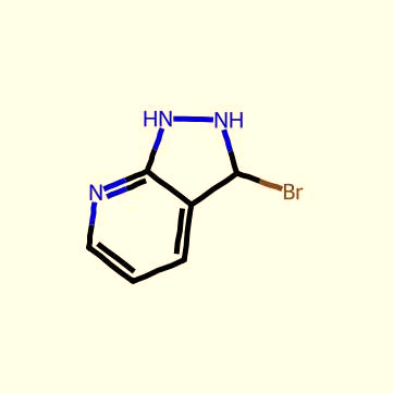 BrC1NNc2ncccc21